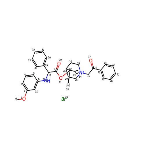 COc1cccc(NC(C(=O)O[C@H]2C[N+]3(CC(=O)c4ccccc4)CCC2CC3)c2ccccc2)c1.[Br-]